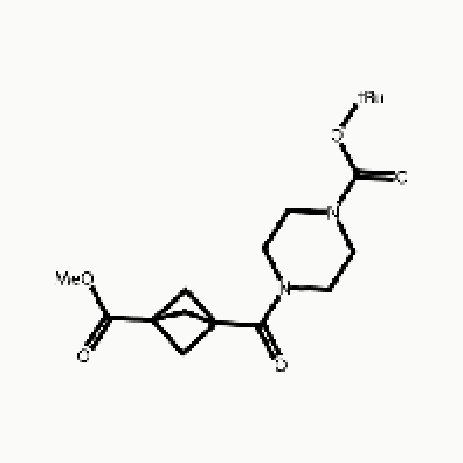 COC(=O)C12CC(C(=O)N3CCN(C(=O)OC(C)(C)C)CC3)(C1)C2